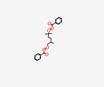 CC(CCC(C)(C)OOC(=O)c1ccccc1)COOC(=O)c1ccccc1